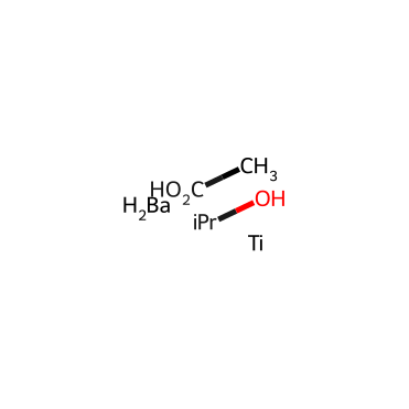 CC(=O)O.CC(C)O.[BaH2].[Ti]